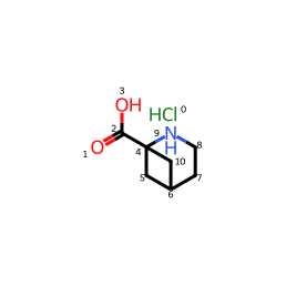 Cl.O=C(O)C12CC(CCN1)C2